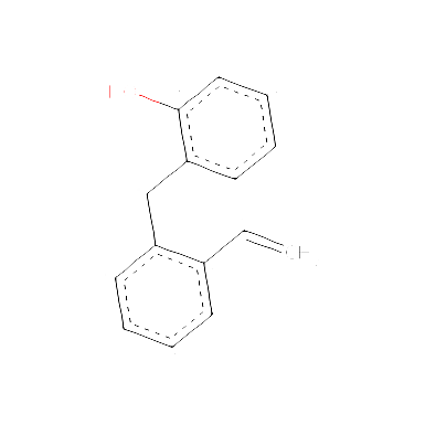 C=Cc1ccccc1Cc1ccccc1O